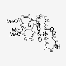 COc1ccc(S(=O)(=O)N(C(=O)[C@H](CC(C)C)NC(=O)c2ccc(OC)c(OC)c2)C2CCCNCC2=O)cc1